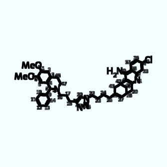 COc1cc2c(cc1OC)C(c1ccccc1)N(CCCc1cn(CCCCC3=CC4Cc5nc6cc(Cl)ccc6c(N)c5C(C3)C4)nn1)CC2